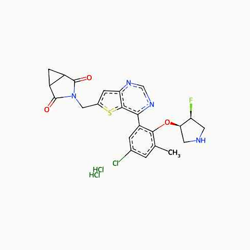 Cc1cc(Cl)cc(-c2ncnc3cc(CN4C(=O)C5CC5C4=O)sc23)c1O[C@@H]1CNC[C@@H]1F.Cl.Cl